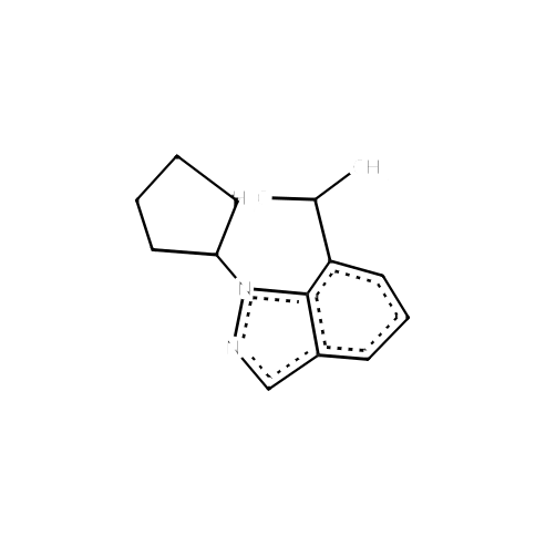 CC(C)c1cccc2cnn(C3CCCC3)c12